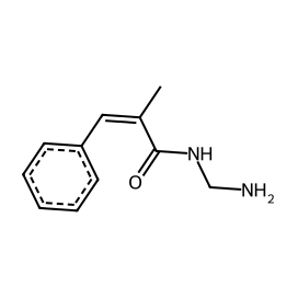 CC(=Cc1ccccc1)C(=O)NCN